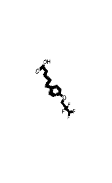 O=C(O)C=CC=Cc1ccc(OCC(F)(F)C(F)F)cc1